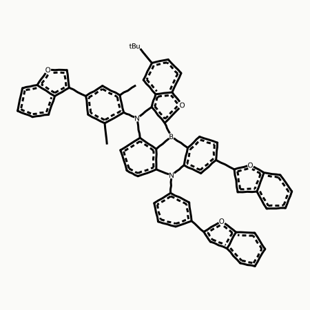 Cc1cc(-c2coc3ccccc23)cc(C)c1N1c2cccc3c2B(c2ccc(-c4cc5ccccc5o4)cc2N3c2cccc(-c3cc4ccccc4o3)c2)c2oc3ccc(C(C)(C)C)cc3c21